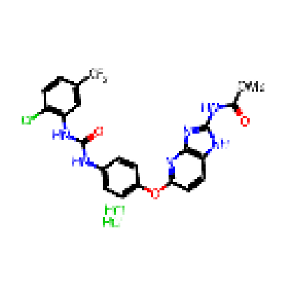 COC(=O)Nc1nc2nc(Oc3ccc(NC(=O)Nc4cc(C(F)(F)F)ccc4Cl)cc3)ccc2[nH]1.Cl.Cl